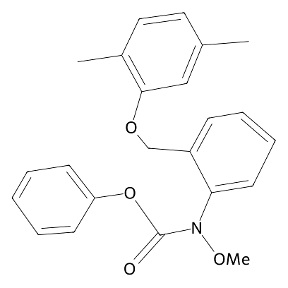 CON(C(=O)Oc1ccccc1)c1ccccc1COc1cc(C)ccc1C